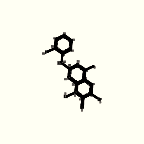 CCn1c(=O)c(Br)cc2c(C)nc(Nc3ccccc3F)nc21